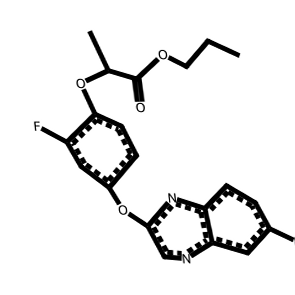 CCCOC(=O)C(C)Oc1ccc(Oc2cnc3cc(F)ccc3n2)cc1F